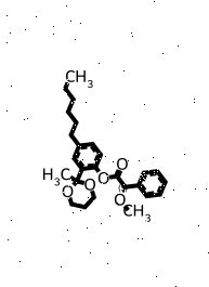 CCCCCCc1ccc(OC(=O)[C@@H](OC)c2ccccc2)c(C2(C)OCCCO2)c1